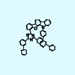 c1ccc(-c2cccc(-c3ccc(-n4c5ccccc5c5ccc6c7cccc(-c8nc(-c9ccccc9)nc(-c9cccc(-c%10ccccc%10)c9)n8)c7oc6c54)cc3)c2)cc1